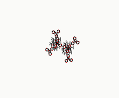 [2H]c1c([2H])c(N(c2ccc(-c3ccc(N(c4c([2H])c([2H])c(-c5ccc(N(c6ccccc6)c6ccccc6)cc5)c([2H])c4[2H])c4c([2H])c([2H])c(-c5ccc(N(c6ccccc6)c6ccccc6)cc5)c([2H])c4[2H])cc3)cc2)c2c([2H])c([2H])c(-c3ccc(N(c4ccccc4)c4ccccc4)cc3)c([2H])c2[2H])c([2H])c([2H])c1-c1ccc(N(c2ccccc2)c2ccccc2)cc1